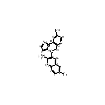 Nc1nc2ccc(F)cc2cc1OCc1ncc(F)cc1-n1cccn1